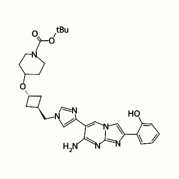 CC(C)(C)OC(=O)N1CCC(O[C@H]2C[C@H](Cn3cnc(-c4cn5cc(-c6ccccc6O)nc5nc4N)c3)C2)CC1